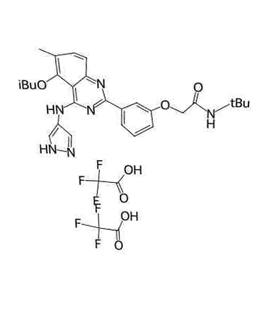 Cc1ccc2nc(-c3cccc(OCC(=O)NC(C)(C)C)c3)nc(Nc3cn[nH]c3)c2c1OCC(C)C.O=C(O)C(F)(F)F.O=C(O)C(F)(F)F